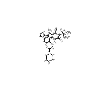 Cc1c(-c2ncco2)sc2c1c(=O)n(C(C)(C)C(=O)O)c(=O)n2C[C@H](OC(=O)N1CCOCC1)c1ccccc1